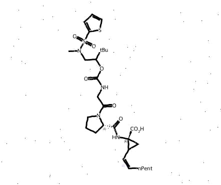 CCCCC/C=C\C1C[C@]1(NC(=O)[C@@H]1CCCN1C(=O)CNC(=O)OC(CN(C)S(=O)(=O)c1cccs1)C(C)(C)C)C(=O)O